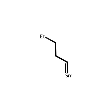 CCCC[CH]=[Sn]